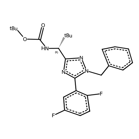 CC(C)(C)OC(=O)N[C@@H](c1nc(-c2cc(F)ccc2F)n(Cc2ccccc2)n1)C(C)(C)C